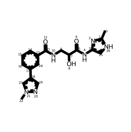 Cc1nc(NC(=O)C(O)CNC(=O)c2cccc(-c3cnn(C)c3)c2)c[nH]1